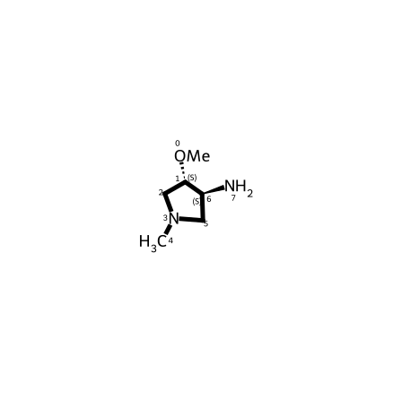 CO[C@H]1CN(C)C[C@@H]1N